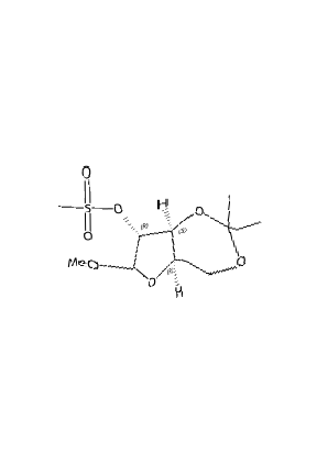 COC1O[C@@H]2COC(C)(C)O[C@@H]2[C@H]1OS(C)(=O)=O